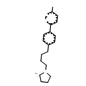 C[C@H](CCc1ccc(-c2ccc(Cl)nn2)cc1)CN1CCC[C@H]1C